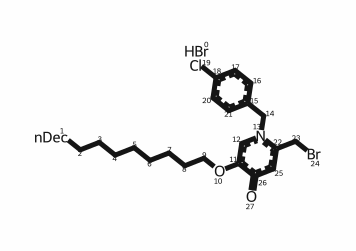 Br.CCCCCCCCCCCCCCCCCCOc1cn(Cc2ccc(Cl)cc2)c(CBr)cc1=O